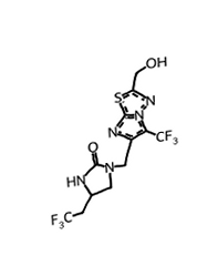 O=C1NC(CC(F)(F)F)CN1Cc1nc2sc(CO)nn2c1C(F)(F)F